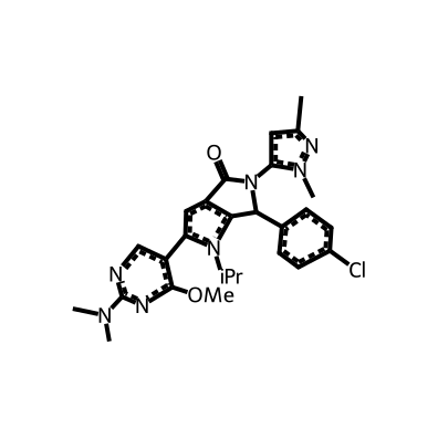 COc1nc(N(C)C)ncc1-c1cc2c(n1C(C)C)C(c1ccc(Cl)cc1)N(c1cc(C)nn1C)C2=O